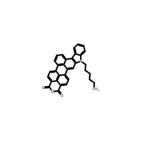 CCCCCCn1c2ccccc2c2c3cccc4c5ccc6c7c(ccc(c(cc21)c43)c75)C(=O)OC6=O